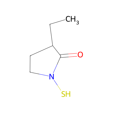 CCC1CCN(S)C1=O